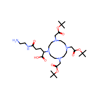 CC(C)(C)OC(=O)CN1CCN(CC(=O)OC(C)(C)C)CCN(C(CCC(=O)NCCN)C(=O)O)CCN(CC(=O)OC(C)(C)C)CC1